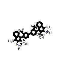 [H]/N=N/c1c(S(=O)(=O)O)c(-c2ccc(-c3ccc(-c4c(S(=O)(=O)O)c(/N=N/[H])c(N)c5ccccc45)c(C(F)(F)F)c3)cc2C(F)(F)F)c2ccccc2c1N